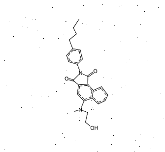 CCCCc1ccc(N2C(=O)c3cc(N(C)CCO)c4ccccc4c3C2=O)cc1